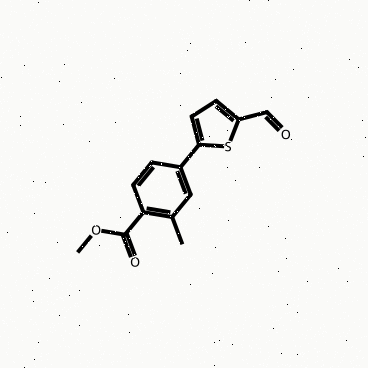 COC(=O)c1ccc(-c2ccc(C=O)s2)cc1C